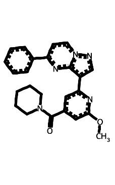 COc1cc(C(=O)N2CCCCC2)cc(-c2cnn3ccc(-c4ccccc4)nc23)n1